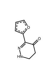 O=C1CCNN=C1c1ccco1